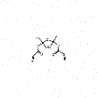 C=CC(=O)OC(C)(CC)OC(C)(CC)OC(=O)C=C